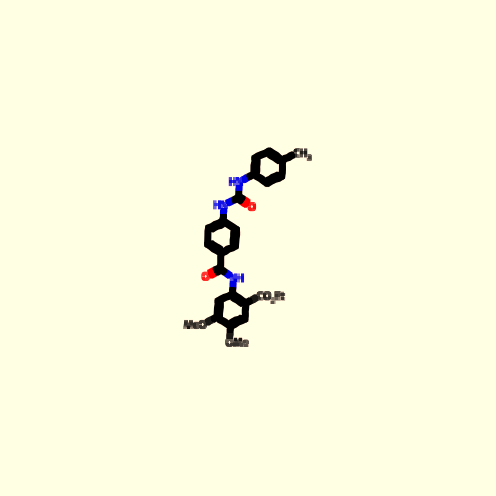 CCOC(=O)c1cc(OC)c(OC)cc1NC(=O)c1ccc(NC(=O)Nc2ccc(C)cc2)cc1